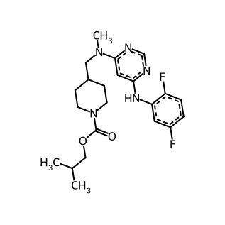 CC(C)COC(=O)N1CCC(CN(C)c2cc(Nc3cc(F)ccc3F)ncn2)CC1